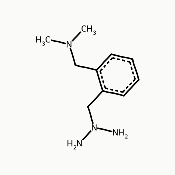 CN(C)Cc1ccccc1CN(N)N